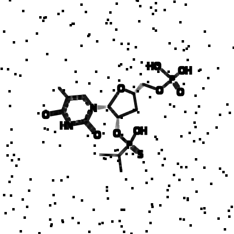 Cc1cn([C@@H]2O[C@H](COP(=O)(O)O)C[C@@H]2OP(O)(=S)C(C)C)c(=O)[nH]c1=O